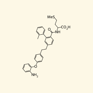 CSCCC(NC(=O)c1ccc(CCc2ccc(Oc3ccccc3N)cc2)cc1-c1ccccc1C)C(=O)O